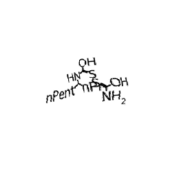 CCCCCC(CCC)NC(O)=S.NC(O)=S